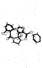 O=C(O[C@H]1C=CCCC1)c1ncn2c1[C@@H]1CCCN1C(=O)c1c(Cl)cccc1-2